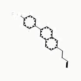 C=CCCc1ccc2cc(-c3ccc(C(F)(F)F)cc3)ccc2c1